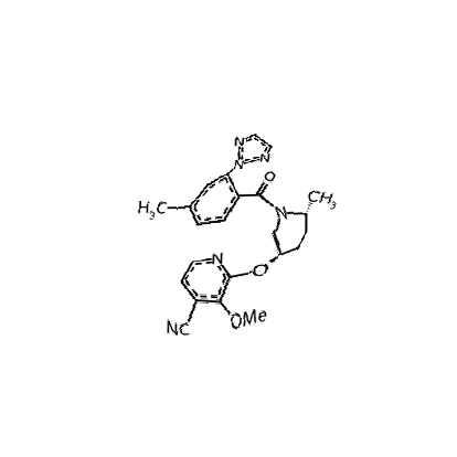 COc1c(C#N)ccnc1O[C@@H]1CC[C@@H](C)N(C(=O)c2ccc(C)cc2-n2nccn2)C1